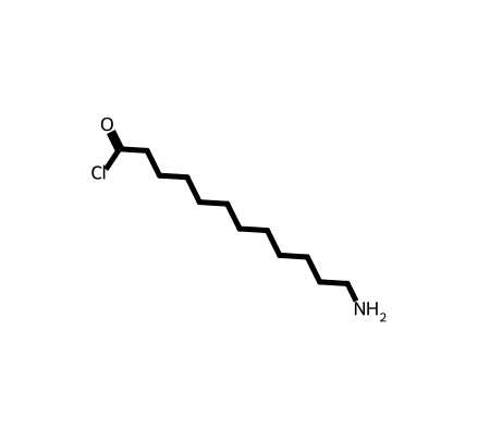 NCCCCCCCCCCCC(=O)Cl